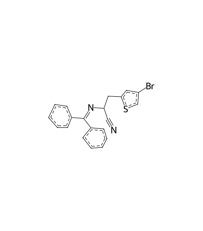 N#CC(Cc1cc(Br)cs1)N=C(c1ccccc1)c1ccccc1